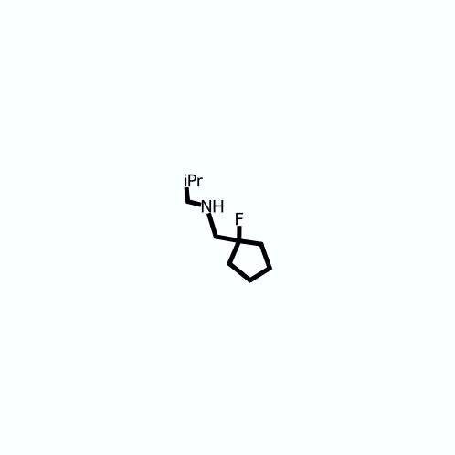 CC(C)CNCC1(F)CCCC1